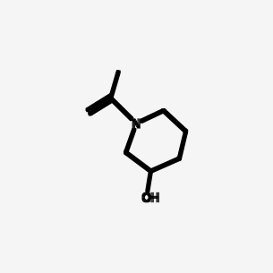 C=C(C)N1CCCC(O)C1